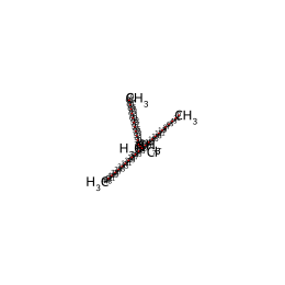 CCCCCCCCCCCCCCCCCCCCCCC(CCCCCCCCCCCCCCCCCCCCCC)[N+](C)(C)CCCCCCCCCCCCCCCCCCCCCC.[Cl-]